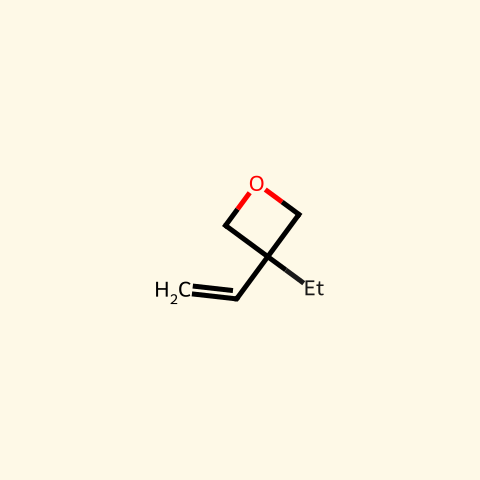 C=CC1(CC)COC1